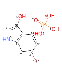 O=P(O)(O)O.Oc1c[nH]c2cc(Br)ccc12